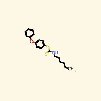 CCCCCCNC(=S)Sc1ccc(Oc2ccccc2)cc1